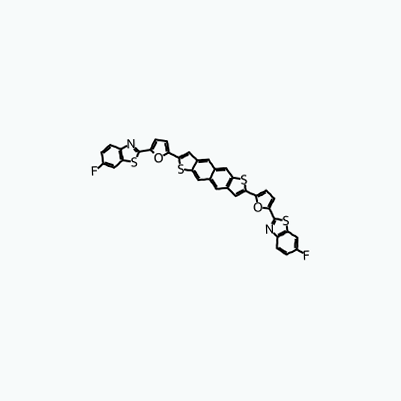 Fc1ccc2nc(-c3ccc(-c4cc5cc6cc7sc(-c8ccc(-c9nc%10ccc(F)cc%10s9)o8)cc7cc6cc5s4)o3)sc2c1